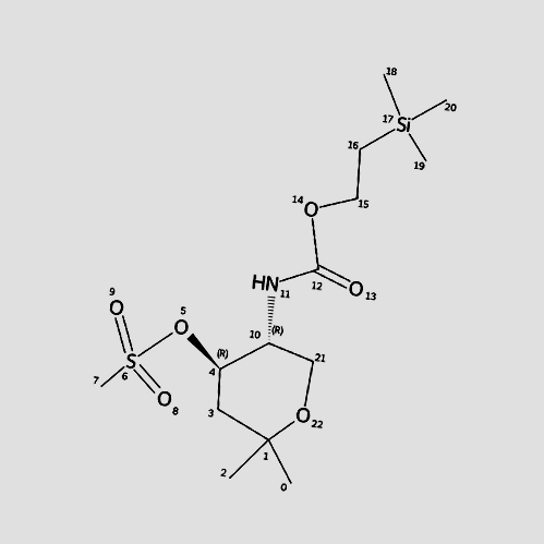 CC1(C)C[C@@H](OS(C)(=O)=O)[C@H](NC(=O)OCC[Si](C)(C)C)CO1